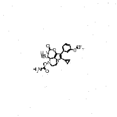 CC(C)(C)C1c2c(OC(N)=O)c(-c3cccc(OC(F)(F)F)c3)c(C3CC3)n2CCN1OC(N)=O